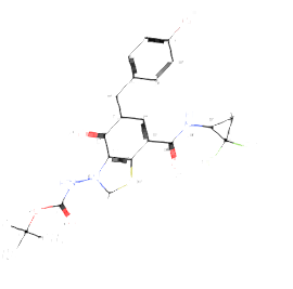 CC(C)(C)OC(=O)NN1CSC2=C1C(=O)C(Cc1ccc(Br)cc1)C=C2C(=O)NC1CC1(F)F